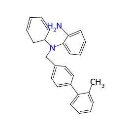 Cc1ccccc1-c1ccc(CN(c2ccccc2N)C2C=CC=CC2)cc1